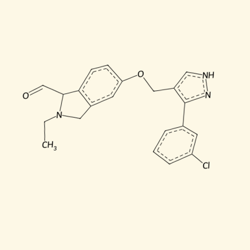 CCN1Cc2cc(OCc3c[nH]nc3-c3cccc(Cl)c3)ccc2C1C=O